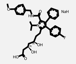 COc1ccc(CNC(=O)c2c(-c3ccccc3)c(-c3ccc(F)cc3)c(CC[C@@H](O)C[C@@H](O)CC(=O)O)n2C(C)C)cc1.[NaH]